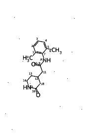 Cc1cccc(C)c1NC(=O)CC1CCNC(=O)C1